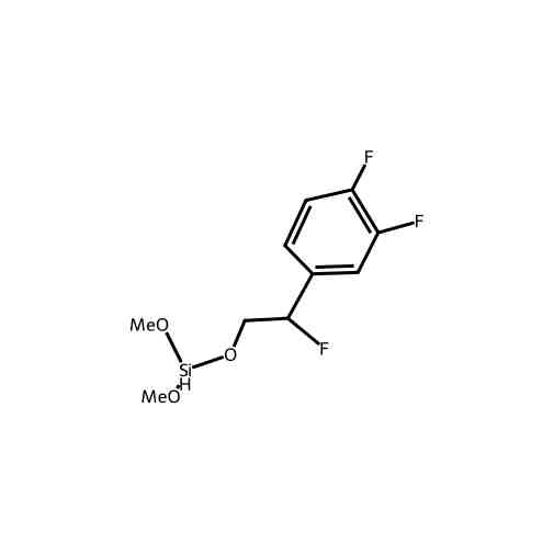 CO[SiH](OC)OCC(F)c1ccc(F)c(F)c1